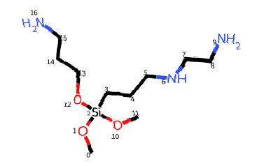 CO[Si](CCCNCCN)(OC)OCCCN